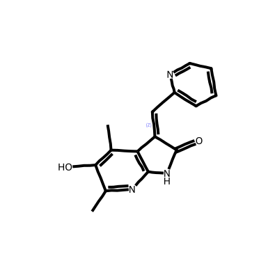 Cc1nc2c(c(C)c1O)/C(=C/c1ccccn1)C(=O)N2